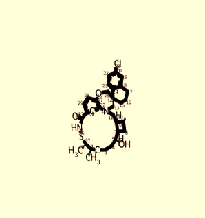 C[C@@H]1CCC[C@H](O)[C@@H]2CC[C@H]2CN2C[C@@]3(CCCc4cc(Cl)ccc43)COc3ccc(cc32)C(=O)NS[C@H]1C